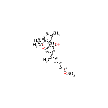 CC1=C[C@H]2c3c(O)cc(C(C)CCCCCO[N+](=O)[O-])cc3OC(C)(C)[C@@H]2CC1